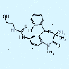 CN1C(=O)C(C)(C)N=C(c2ccccc2Cl)c2cc(NC(=O)NCCO)ccc21